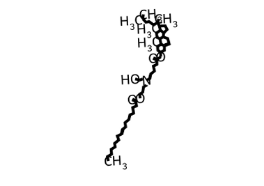 CCCCCCCC/C=C/CCCCCCCC(=O)OCCCCN(CCO)CCCCCC(=O)OC1CCC2(C)C(=CCC3C2CCC2(C)C(C(C)CCCC(C)C)CCC32)C1